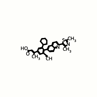 C#Cc1cc(/C(C)=C/C(=O)O)cc(C2CCCCC2)c1-c1ccc2nc(-c3sc(C)nc3C)ccc2c1